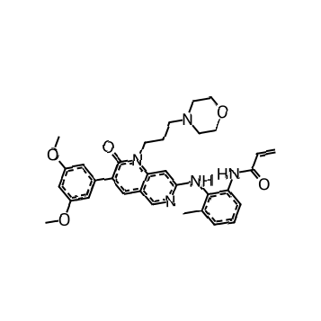 C=CC(=O)Nc1cccc(C)c1Nc1cc2c(cn1)cc(-c1cc(OC)cc(OC)c1)c(=O)n2CCCN1CCOCC1